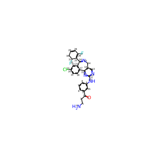 NCCC(=O)c1cccc(Nc2ncc3c(n2)-c2ccc(Cl)cc2C(C2=C(F)C=CCC2F)=NC3)c1